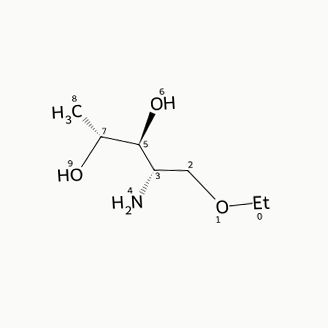 CCOC[C@H](N)[C@H](O)[C@@H](C)O